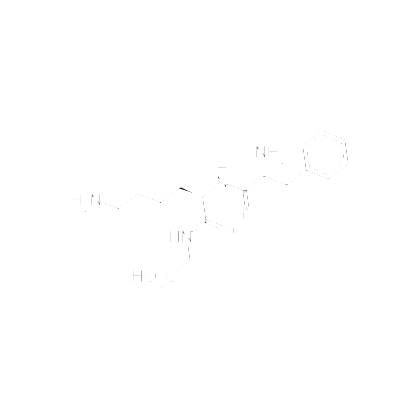 NCCCC[C@@H](NC(=O)[C@H](N)Cc1ccccc1)C(=O)NCC(=O)O